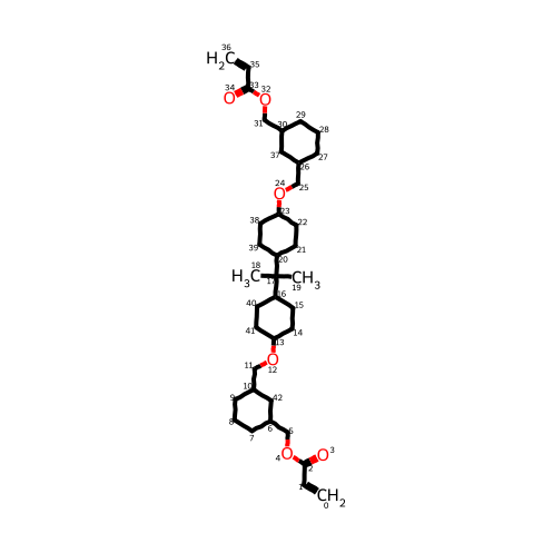 C=CC(=O)OCC1CCCC(COC2CCC(C(C)(C)C3CCC(OCC4CCCC(COC(=O)C=C)C4)CC3)CC2)C1